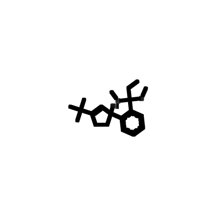 CCC(OC)(OC)c1ccccc1C1(O)C=C(C(C)(C)C)CC1